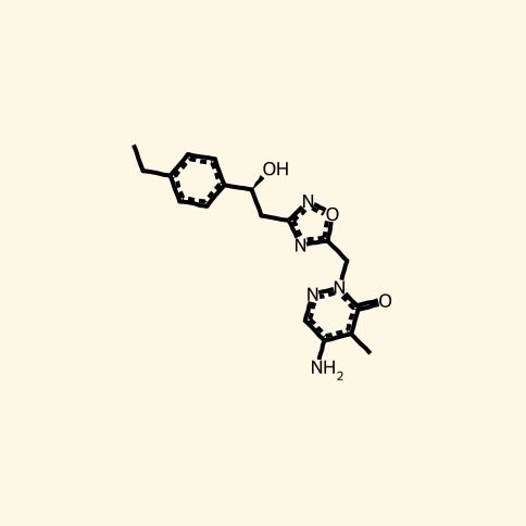 CCc1ccc([C@@H](O)Cc2noc(Cn3ncc(N)c(C)c3=O)n2)cc1